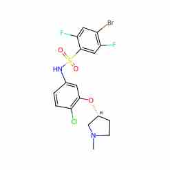 CN1CC[C@@H](Oc2cc(NS(=O)(=O)c3cc(F)c(Br)cc3F)ccc2Cl)C1